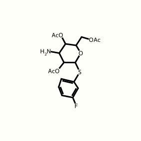 CC(=O)OCC1OC(Sc2cccc(F)c2)C(OC(C)=O)C(N)C1OC(C)=O